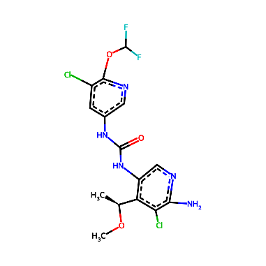 CO[C@@H](C)c1c(NC(=O)Nc2cnc(OC(F)F)c(Cl)c2)cnc(N)c1Cl